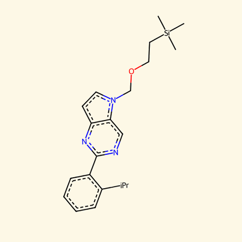 CC(C)c1ccccc1-c1ncc2c(ccn2COCC[Si](C)(C)C)n1